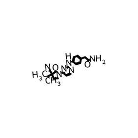 CC(C)C1(C#N)CCN(c2ccnc(Nc3ccc(CC(N)=O)cc3)n2)C1=O